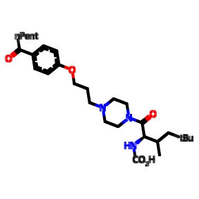 CCCCCC(=O)c1ccc(OCCCN2CCN(C(=O)[C@H](NC(=O)O)C(C)CC(C)(C)C)CC2)cc1